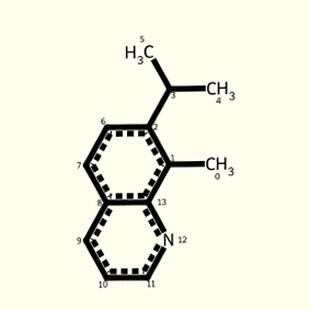 Cc1c(C(C)C)ccc2cccnc12